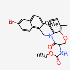 CCCCOC(=O)NC1COc2c(C)cccc2N(Cc2c(OC)ccc3cc(Br)ccc23)C1=O